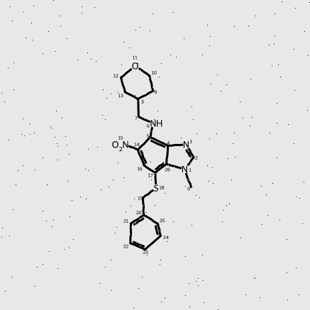 Cn1cnc2c(NCC3CCOCC3)c([N+](=O)[O-])cc(SCc3ccccc3)c21